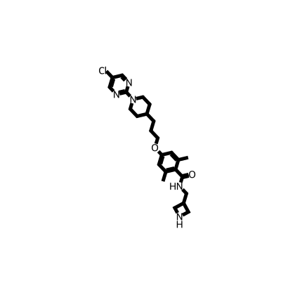 Cc1cc(OCCCC2CCN(c3ncc(Cl)cn3)CC2)cc(C)c1C(=O)NCC1CNC1